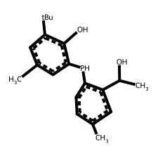 Cc1ccc(Pc2cc(C)cc(C(C)(C)C)c2O)c(C(C)O)c1